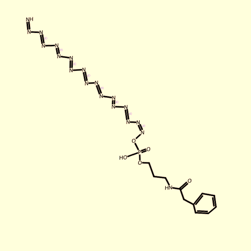 N=N/N=N/N=N/N=N/N=N/N=N/N=N/N=N/N=N\OP(=O)(O)OCCCNC(=O)Cc1ccccc1